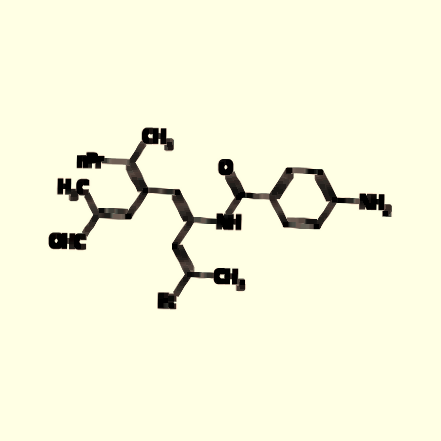 CCC/C(C)=C(\C=C(/C)C=O)/C=C(\C=C(/C)CC)NC(=O)c1ccc(N)cc1